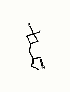 FC1(F)CC(Cc2cn[nH]c2)C1